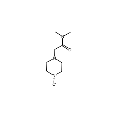 [CH2-][NH+]1CCN(CC(=O)N(C)C)CC1